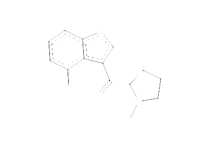 CN1CCC[C@H]1C(=O)c1c[nH]c2cccc(F)c12